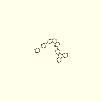 c1ccc2c(c1)c1ccccc1c1cc(-c3ccc4ccc5ccc(-c6ccc(-c7cnccn7)cc6)nc5c4n3)ccc21